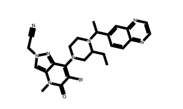 CCC1CN(c2c(Br)c(=O)n(C)c3cn(CC#N)nc23)CCN1C(C)c1ccc2nccnc2c1